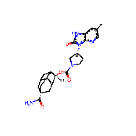 Cc1cnc2c(c1)[nH]c(=O)n2[C@@H]1CCN(C(=O)O[C@H]2C3CC4CC2C[C@](C(N)=O)(C4)C3)C1